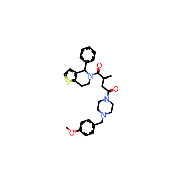 COc1ccc(CN2CCN(C(=O)CC(C)C(=O)N3CCc4sccc4C3c3ccccc3)CC2)cc1